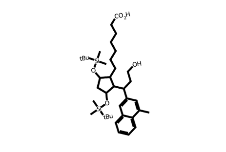 Cc1cc(C(CCO)C2C(O[Si](C)(C)C(C)(C)C)CC(O[Si](C)(C)C(C)(C)C)C2CCCCCCC(=O)O)cc2ccccc12